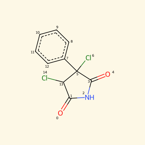 O=C1NC(=O)C(Cl)(c2ccccc2)C1Cl